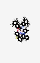 Cc1cc(-c2c(Nc3cccc4sc5ccccc5c34)ccc3ccccc23)c2c(c1)N(c1cc3c(cc1C)C(C)(C)CCC3(C)C)c1c(oc3cc4c(cc13)C(C)(C)CCC4(C)C)B2